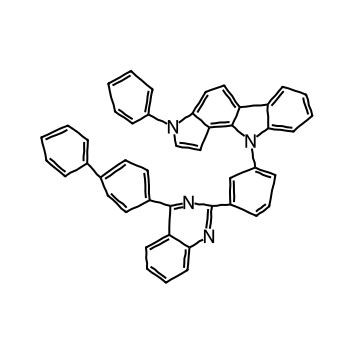 c1ccc(-c2ccc(-c3nc(-c4cccc(-n5c6ccccc6c6ccc7c(ccn7-c7ccccc7)c65)c4)nc4ccccc34)cc2)cc1